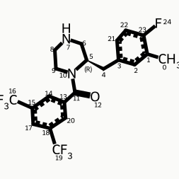 Cc1cc(C[C@@H]2CNCCN2C(=O)c2cc(C(F)(F)F)cc(C(F)(F)F)c2)ccc1F